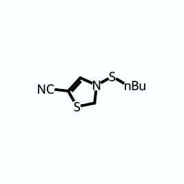 CCCCSN1C=C(C#N)SC1